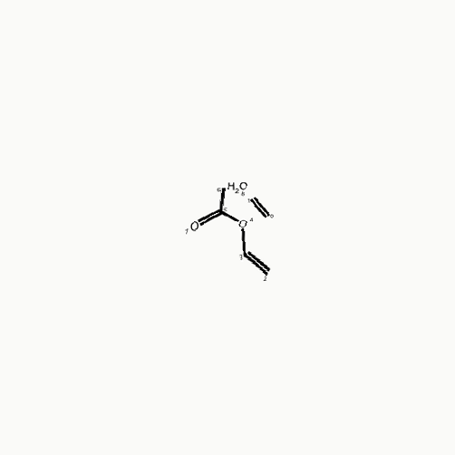 C=C.C=COC(C)=O.O